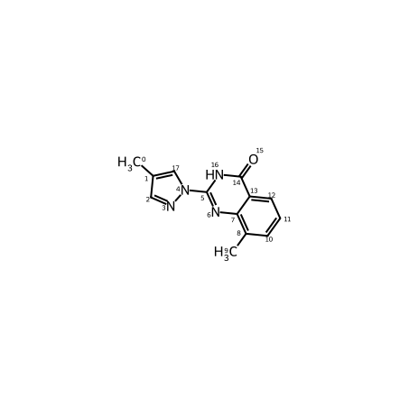 Cc1cnn(-c2nc3c(C)cccc3c(=O)[nH]2)c1